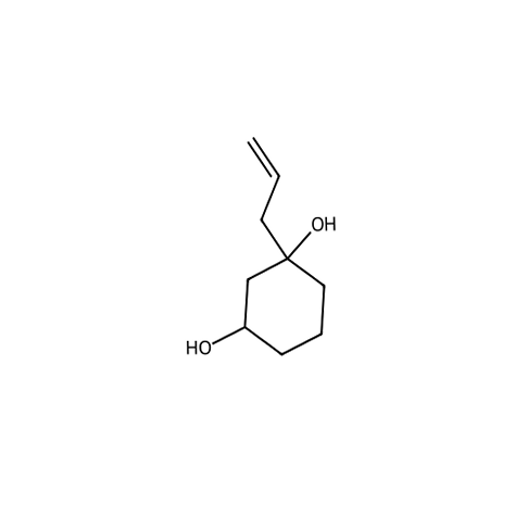 C=CCC1(O)CCCC(O)C1